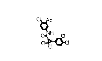 CC(=O)c1cc(NC(=O)[C@H]2[C@H](c3ccc(Cl)c(Cl)c3)C2(Cl)Cl)ccc1Cl